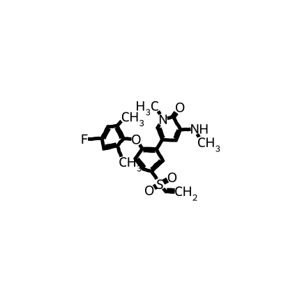 C=CS(=O)(=O)c1ccc(Oc2c(C)cc(F)cc2C)c(-c2cc(NC)c(=O)n(C)c2)c1